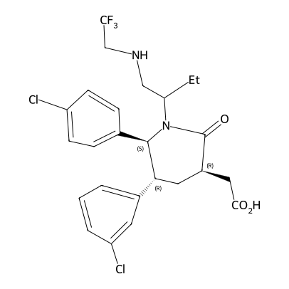 CCC(CNCC(F)(F)F)N1C(=O)[C@@H](CC(=O)O)C[C@H](c2cccc(Cl)c2)[C@H]1c1ccc(Cl)cc1